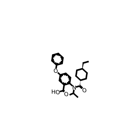 CC[C@H]1CC[C@H](C(=O)N(c2ccc(Oc3ccccc3)cc2C(=O)O)C(C)C)CC1